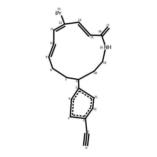 C#Cc1ccc(C2CC/C=C/C=C(C(C)C)\C=C\C(=C)NCC2)cc1